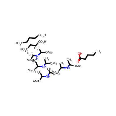 CCCCC(=O)O.COC(C)NC(C)OC.COC(C)NC(C)OC.COC(C)NC(C)OC.COC(C)NC(C)OC.O=C(O)CCC(=O)O.O=C(O)CCCC(=O)O